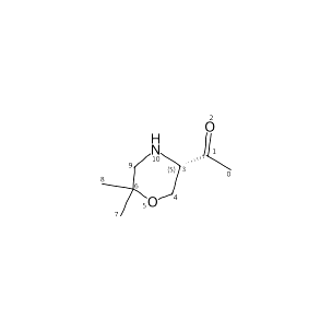 CC(=O)[C@@H]1COC(C)(C)CN1